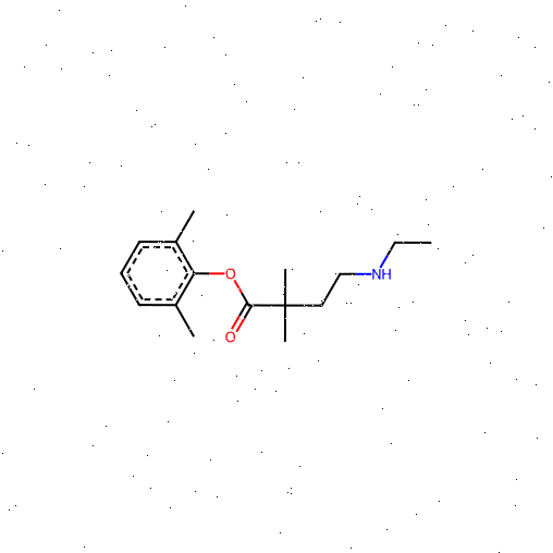 CCNCCC(C)(C)C(=O)Oc1c(C)cccc1C